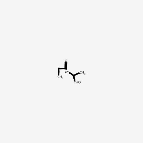 CC(C)C(C)C=O.CCC=O